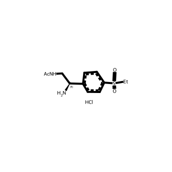 CCS(=O)(=O)c1ccc([C@@H](N)CNC(C)=O)cc1.Cl